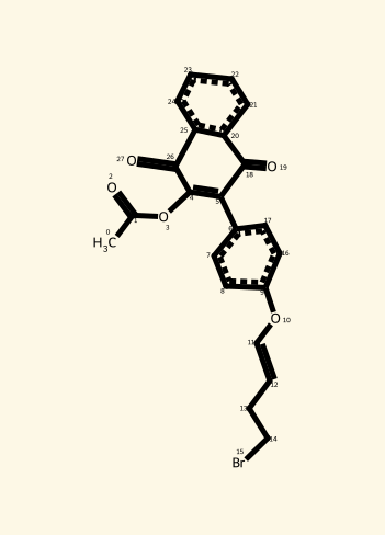 CC(=O)OC1=C(c2ccc(OC=CCCBr)cc2)C(=O)c2ccccc2C1=O